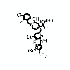 CCc1cc(C[C@@]2(C(=O)OC(C)(C)C)CCN(Cc3cccc(Cl)c3F)[C@H](C)C2)nc(Nc2cc(C)n(C(C)(C)C)n2)c1F